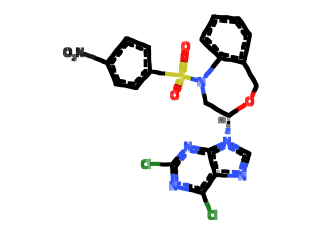 O=[N+]([O-])c1ccc(S(=O)(=O)N2C[C@@H](n3cnc4c(Cl)nc(Cl)nc43)OCc3ccccc32)cc1